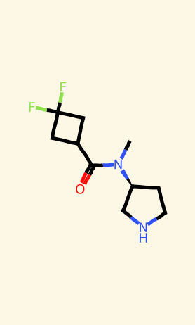 CN(C(=O)C1CC(F)(F)C1)[C@H]1CCNC1